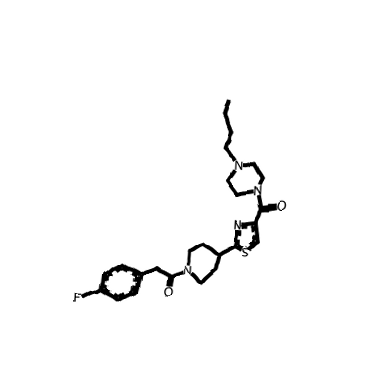 CCCCN1CCN(C(=O)c2csc(C3CCN(C(=O)Cc4ccc(F)cc4)CC3)n2)CC1